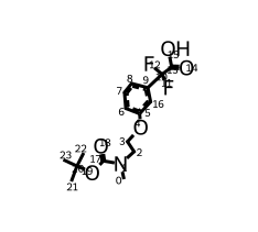 CN(CCOc1cccc(C(F)(F)C(=O)O)c1)C(=O)OC(C)(C)C